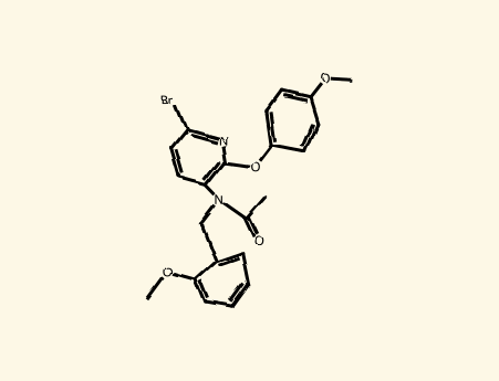 COc1ccc(Oc2nc(Br)ccc2N(Cc2ccccc2OC)C(C)=O)cc1